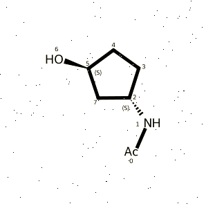 CC(=O)N[C@H]1CC[C@H](O)C1